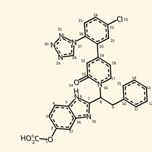 O=C(O)Oc1ccc2[nH]c(C(Cc3ccccc3)n3ccc(-c4cc(Cl)ccc4-n4cnnn4)cc3=O)nc2c1